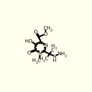 COC(=O)c1nc(C(C)(C)NN)n(C)c(=O)c1O